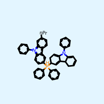 CCCc1ccc2c3cc([PH](c4ccccc4)(c4ccccc4)C4C=C5C(=CC4)N(c4ccccc4)C4=CC=CCC54)ccc3n(-c3ccccc3)c2c1